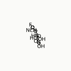 N#Cc1cc(F)ccc1N1CCC(CNC(=O)[C@H](O)[C@@H](O)C(=O)N2CC[C@@H](O)C2)CC1